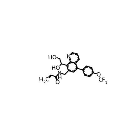 C=CC(=O)NCc1cc(-c2ccc(OC(F)(F)F)cc2)c2cccnc2c1C(O)CO